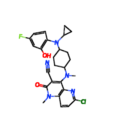 CN(c1c(C#N)c(=O)n(C)c2ccc(Cl)nc12)C1CCC(N(c2ccc(F)cc2O)C2CC2)CC1